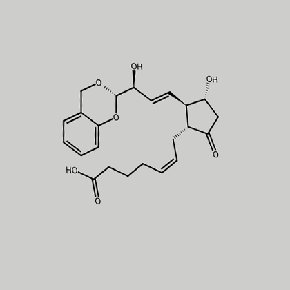 O=C(O)CCC/C=C\C[C@H]1C(=O)C[C@@H](O)[C@@H]1/C=C/[C@H](O)[C@H]1OCc2ccccc2O1